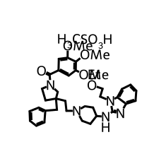 CCOCCn1c(NC2CCN(CCC3(Cc4ccccc4)CCN(C(=O)c4cc(OC)c(OC)c(OC)c4)C3)CC2)nc2ccccc21.CS(=O)(=O)O